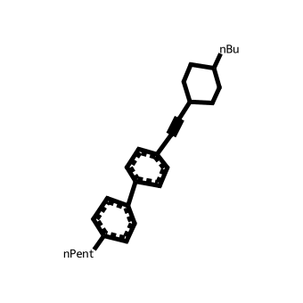 CCCCCc1ccc(-c2ccc(C#CC3CCC(CCCC)CC3)cc2)cc1